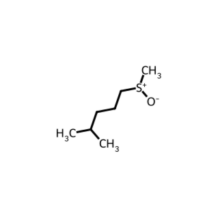 CC(C)CCC[S+](C)[O-]